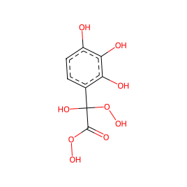 O=C(OO)C(O)(OO)c1ccc(O)c(O)c1O